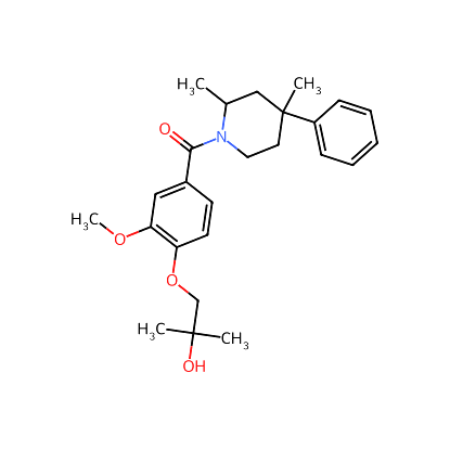 COc1cc(C(=O)N2CCC(C)(c3ccccc3)CC2C)ccc1OCC(C)(C)O